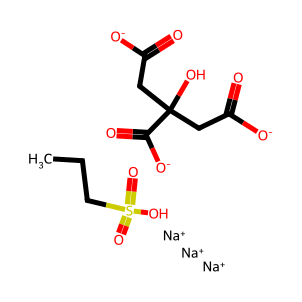 CCCS(=O)(=O)O.O=C([O-])CC(O)(CC(=O)[O-])C(=O)[O-].[Na+].[Na+].[Na+]